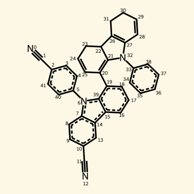 N#Cc1ccc(-n2c3ccc(C#N)cc3c3cccc(C4=C5C(CC=C4)C4=C(C=CCC4)N5c4ccccc4)c32)cc1